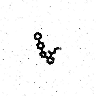 CCOC(=O)c1cccnc1-n1cnc(-c2ccc(N3CCOCC3)cc2)c1